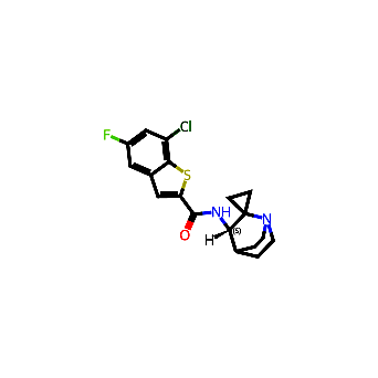 O=C(N[C@H]1C2CCN(CC2)C12CC2)c1cc2cc(F)cc(Cl)c2s1